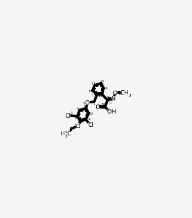 CCOc1c(Cl)cc(OCc2ccccc2/C(=N\OC)C(=O)O)cc1Cl